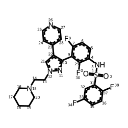 O=S(=O)(Nc1ccc(F)c(-c2nn(CCN3CCCCC3)cc2-c2ccncc2)c1F)c1cc(F)ccc1F